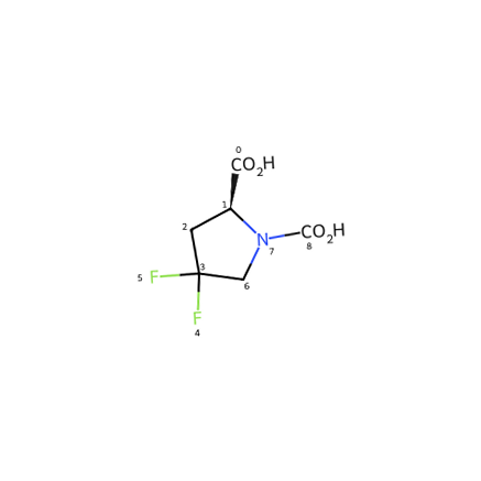 O=C(O)[C@@H]1CC(F)(F)CN1C(=O)O